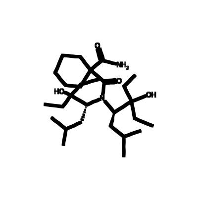 CCC(O)(CC)[C@@H](CC(C)C)N(C(=O)C1(C(N)=O)CCCCC1)[C@H](CC(C)C)C(O)(CC)CC